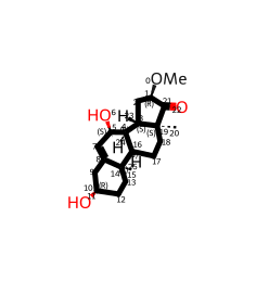 CO[C@@H]1C[C@H]2[C@@H]3[C@H](O)C=C4C[C@H](O)CC[C@]4(C)[C@H]3CC[C@]2(C)C1=O